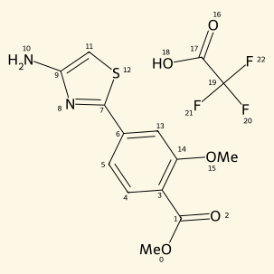 COC(=O)c1ccc(-c2nc(N)cs2)cc1OC.O=C(O)C(F)(F)F